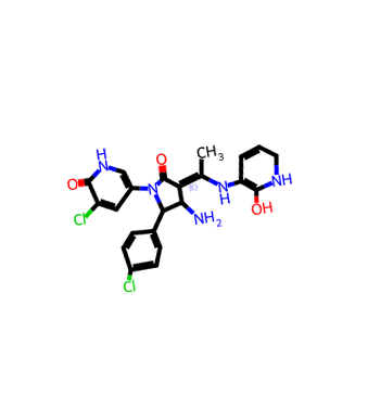 C/C(NC1=C(O)NCC=C1)=C1\C(=O)N(c2c[nH]c(=O)c(Cl)c2)C(c2ccc(Cl)cc2)C1N